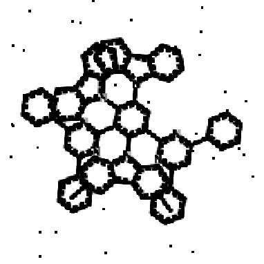 Cc1ccc2c(c1)c1cc(C)ccc1n2-c1c(-c2nc(-c3ccccc3)cc(-c3ccccc3)n2)cc(-n2c3ccccc3c3ccccc32)c(-n2c3ccccc3c3ccccc32)c1-c1nc(-c2ccccc2)cc(-c2ccccc2)n1